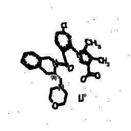 Cc1c(C(=O)[O-])cn(-c2cc(Cl)ccc2C(=O)N2Cc3ccccc3C[C@H]2CN2CCOCC2)c1C.[Li+]